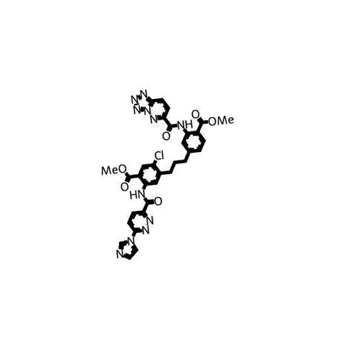 COC(=O)c1cc(Cl)c(CCCc2ccc(C(=O)OC)c(NC(=O)c3ccc4nnnn4n3)c2)cc1NC(=O)c1ccc(-n2ccnc2)nn1